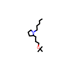 CCCCCN1CCCC1CCCOC(C)(C)C